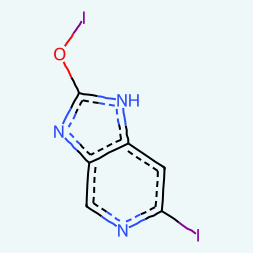 IOc1nc2cnc(I)cc2[nH]1